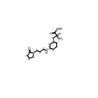 CNC(=O)[C@](C)(N)C[C@H]1CCC[C@H](NCCCN2CCCC2=O)C1